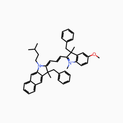 COc1ccc2c(c1)C(C)(Cc1ccccc1)C(/C=C/C=C1/N(CCC(C)C)c3cc4ccccc4cc3C1(C)Cc1ccccc1)=[N+]2C